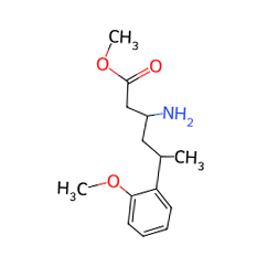 COC(=O)CC(N)CC(C)c1ccccc1OC